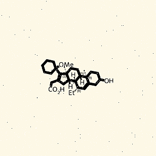 CC[C@H]1C=C2CC(O)CC[C@]2(C)[C@H]2CC[C@]3(C)C(C4(OC)CCCCC4)=C(CC(=O)O)C[C@H]3[C@H]12